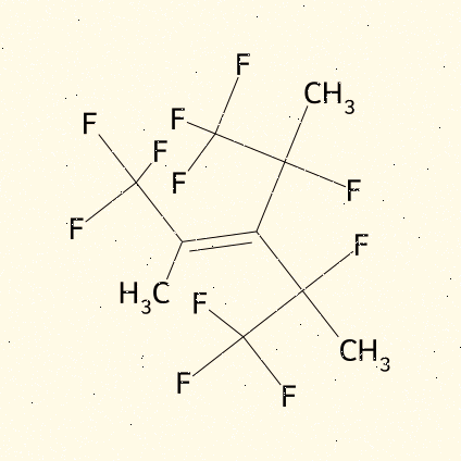 CC(=C(C(C)(F)C(F)(F)F)C(C)(F)C(F)(F)F)C(F)(F)F